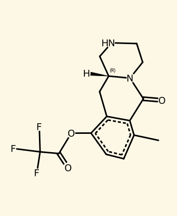 Cc1ccc(OC(=O)C(F)(F)F)c2c1C(=O)N1CCNC[C@H]1C2